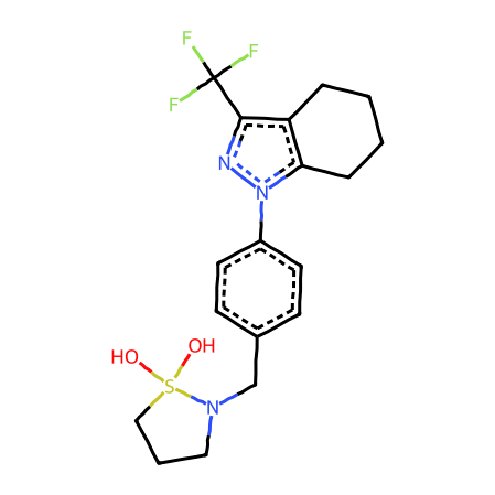 OS1(O)CCCN1Cc1ccc(-n2nc(C(F)(F)F)c3c2CCCC3)cc1